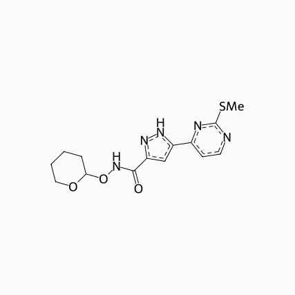 CSc1nccc(-c2cc(C(=O)NOC3CCCCO3)n[nH]2)n1